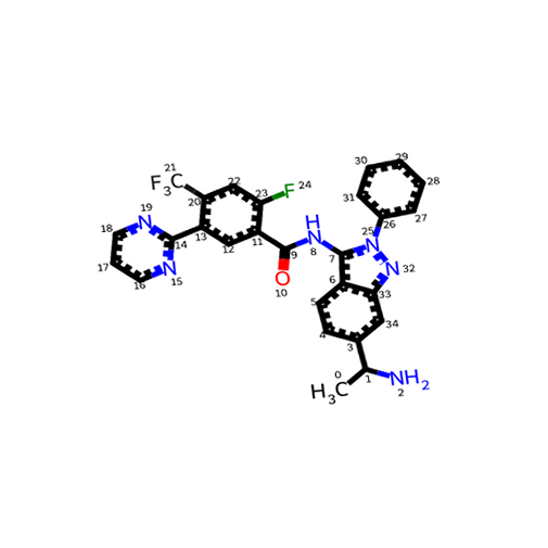 CC(N)c1ccc2c(NC(=O)c3cc(-c4ncccn4)c(C(F)(F)F)cc3F)n(-c3ccccc3)nc2c1